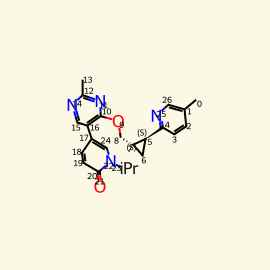 Cc1ccc([C@H]2C[C@@H]2COc2nc(C)ncc2-c2ccc(=O)n(C(C)C)c2)nc1